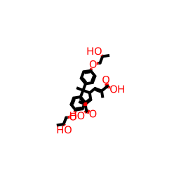 CC(=CC(C=C(C)C(=O)O)C(C)(c1ccc(OCC(C)O)cc1)c1ccc(OCC(C)O)cc1)C(=O)O